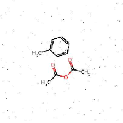 CC(=O)OC(C)=O.Cc1ccccc1